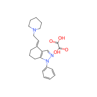 C(CN1CCCCC1)=C1CCCc2c1cnn2-c1ccccc1.O=C(O)C(=O)O